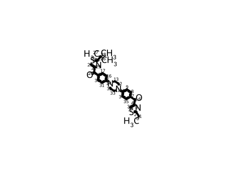 CCc1nc(C(=O)c2ccc(N3CCN(c4ccc(C(=O)c5csc(C(C)(C)C)n5)cc4)CC3)cc2)cs1